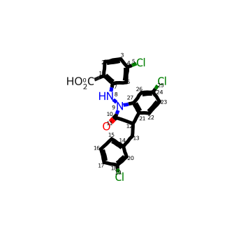 O=C(O)c1ccc(Cl)cc1NN1C(=O)C(Cc2cccc(Cl)c2)c2ccc(Cl)cc21